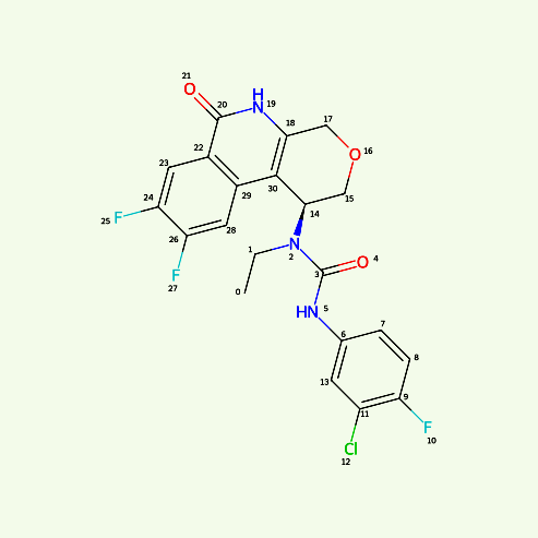 CCN(C(=O)Nc1ccc(F)c(Cl)c1)[C@@H]1COCc2[nH]c(=O)c3cc(F)c(F)cc3c21